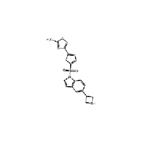 Cc1nc(-c2ccc(S(=O)(=O)n3ccc4cc(C5CNC5)ccc43)s2)cs1